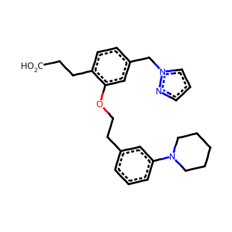 O=C(O)CCc1ccc(Cn2cccn2)cc1OCCc1cccc(N2CCCCC2)c1